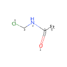 CCC(=O)NCCl